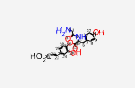 NCC(=O)N[C@@H](Cc1ccc(O)cc1)C(=O)Oc1ccc(C=CC(=O)O)cc1O